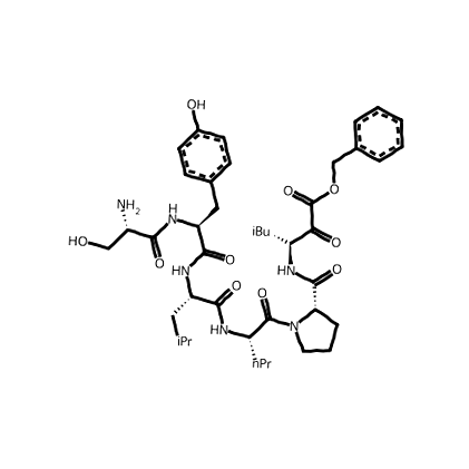 CCC[C@H](NC(=O)[C@H](CC(C)C)NC(=O)[C@H](Cc1ccc(O)cc1)NC(=O)[C@@H](N)CO)C(=O)N1CCC[C@H]1C(=O)N[C@H](C(=O)C(=O)OCc1ccccc1)[C@@H](C)CC